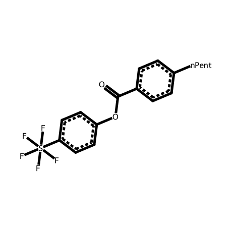 CCCCCc1ccc(C(=O)Oc2ccc(S(F)(F)(F)(F)F)cc2)cc1